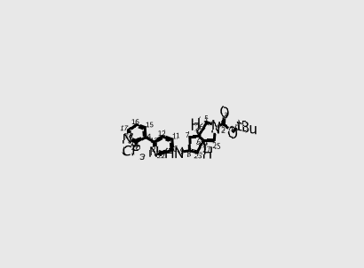 CC(C)(C)OC(=O)N1C[C@H]2CC(Nc3ccc(-c4cccnc4C(F)(F)F)nc3)C[C@H]2C1